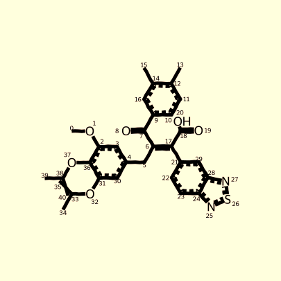 COc1cc(CC(C(=O)c2ccc(C)c(C)c2)=C(C(=O)O)c2ccc3nsnc3c2)cc(OC(C)C)c1OC(C)C